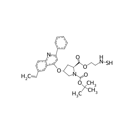 C=Cc1ccc2nc(-c3ccccc3)cc(O[C@@H]3C[C@@H](C(=O)OCCNS)N(C(=O)OC(C)(C)C)C3)c2c1